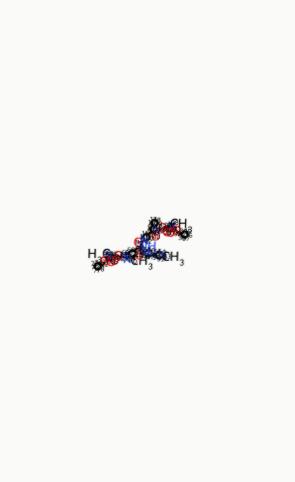 Cc1cc(C[C@@H](NC(=O)N2CCC(c3cc4ccccc4n(COC(=O)CN(C)C(=O)OCc4ccccc4)c3=O)CC2)C(=O)N2CCN(C3CCN(C)CC3)CC2)cc2cn(COC(=O)CN(C)C(=O)OCc3ccccc3)nc12